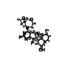 CCc1c(F)ccc2cc(O)cc(-c3c(F)cc4c(N5CCOCC6(CCO6)C5)nc(F)nc4c3F)c12